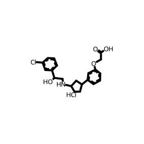 Cl.O=C(O)COc1cccc(C2CCC(NCC(O)c3cccc(Cl)c3)C2)c1